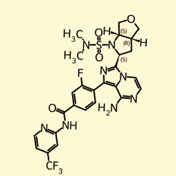 CN(C)S(=O)(=O)N1[C@@H]2COC[C@@H]2C[C@H]1c1nc(-c2ccc(C(=O)Nc3cc(C(F)(F)F)ccn3)cc2F)c2c(N)nccn12